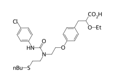 CCCCSCCN(CCOc1ccc(CC(OCC)C(=O)O)cc1)C(=O)Nc1ccc(Cl)cc1